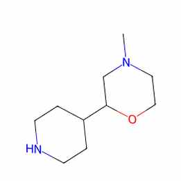 CN1CCOC(C2CCNCC2)C1